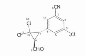 N#Cc1cc(Cl)cc([C@@H]2[C@@H](C=O)C2(Cl)Cl)c1